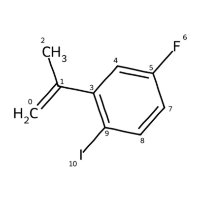 C=C(C)c1cc(F)ccc1I